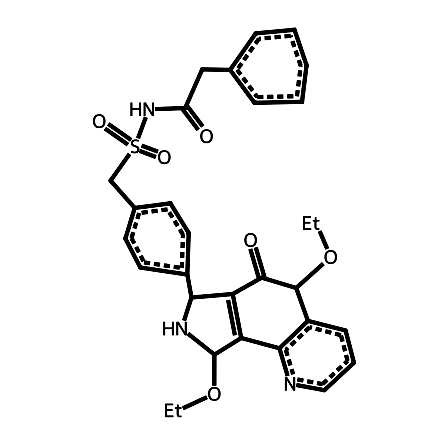 CCOC1NC(c2ccc(CS(=O)(=O)NC(=O)Cc3ccccc3)cc2)C2=C1c1ncccc1C(OCC)C2=O